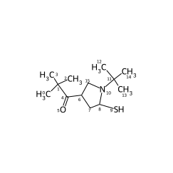 CC(C)(C)C(=O)C1CC(S)N(C(C)(C)C)C1